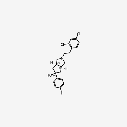 O[C@@]1(c2ccc(F)cc2)C[C@H]2CN(CCc3ccc(Cl)cc3Cl)C[C@H]2C1